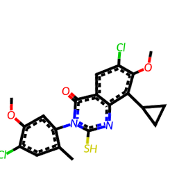 COc1cc(-n2c(S)nc3c(C4CC4)c(OC)c(Cl)cc3c2=O)c(C)cc1Cl